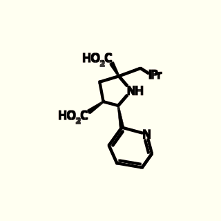 CC(C)C[C@@]1(C(=O)O)C[C@H](C(=O)O)[C@H](c2ccccn2)N1